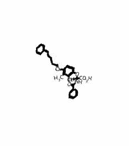 CCC(NC(=O)c1ccccc1)(Oc1ccc(OCCCCCc2ccccc2)c(C)c1C)C(=O)O